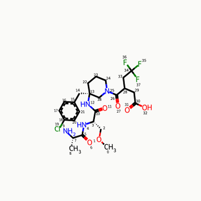 COC[C@H](NC(=O)[C@H](C)N)C(=O)N[C@@]1(Cc2ccc(Cl)cc2)CCCN(C(=O)C(CC(=O)O)CC(F)(F)F)C1